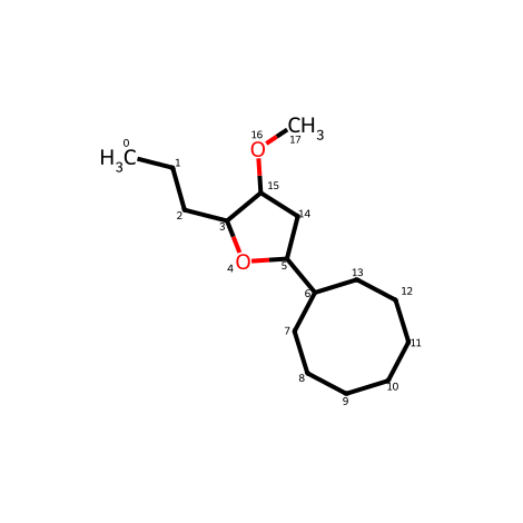 CCCC1OC(C2CCCCCCC2)CC1OC